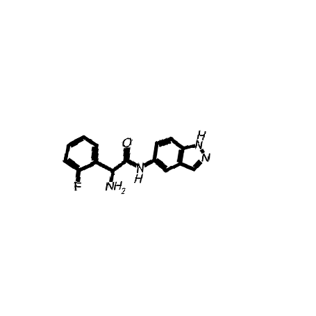 NC(C(=O)Nc1ccc2[nH]ncc2c1)c1ccccc1F